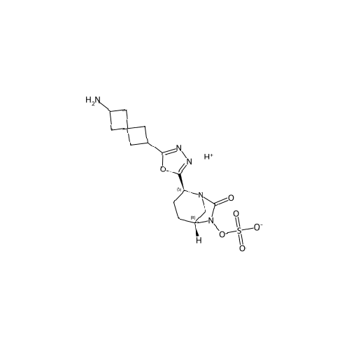 NC1CC2(C1)CC(c1nnc([C@@H]3CC[C@@H]4CN3C(=O)N4OS(=O)(=O)[O-])o1)C2.[H+]